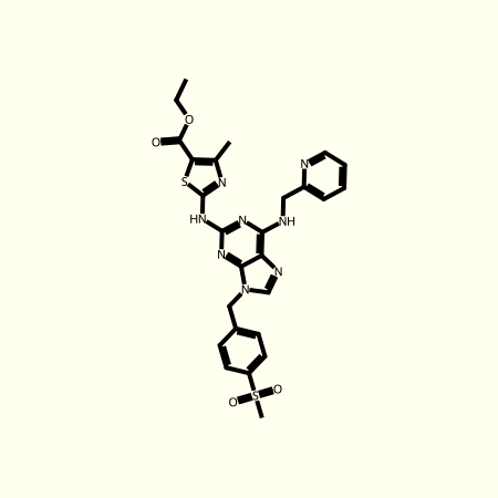 CCOC(=O)c1sc(Nc2nc(NCc3ccccn3)c3ncn(Cc4ccc(S(C)(=O)=O)cc4)c3n2)nc1C